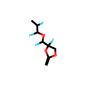 C=C1OCC(F)(C(F)OC(F)C(C)F)O1